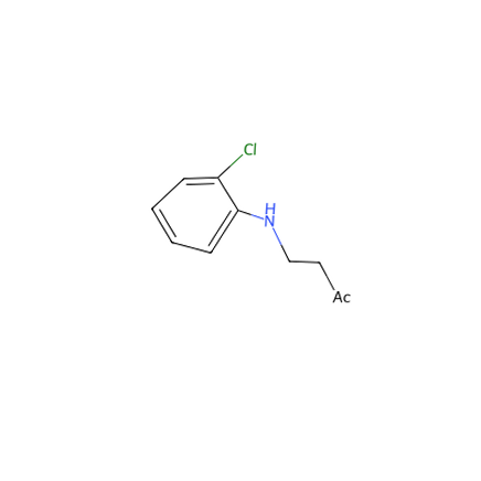 CC(=O)CCNc1ccccc1Cl